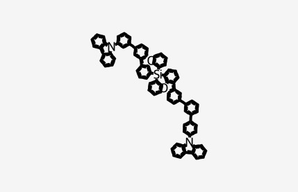 c1ccc([Si](c2ccccc2)(c2cccc3c2oc2ccc(-c4cccc(-c5ccc(-n6c7ccccc7c7ccccc76)cc5)c4)cc23)c2cccc3c2oc2ccc(-c4cccc(-n5c6ccccc6c6ccccc65)c4)cc23)cc1